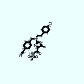 Cc1sc(N(CCc2ccc(Cl)cc2)Cc2ccc(C#N)cc2)nc1C(=O)NS(C)(=O)=O